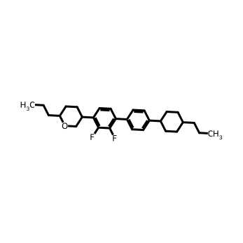 CCCC1CCC(c2ccc(-c3ccc(C4CCC(CCC)OC4)c(F)c3F)cc2)CC1